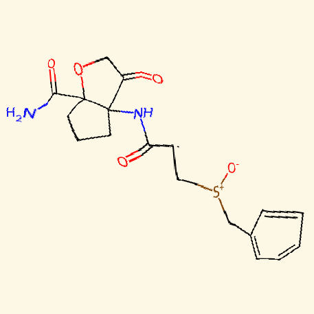 NC(=O)C12CCCC1(NC(=O)[CH]C[S+]([O-])Cc1ccccc1)C(=O)CO2